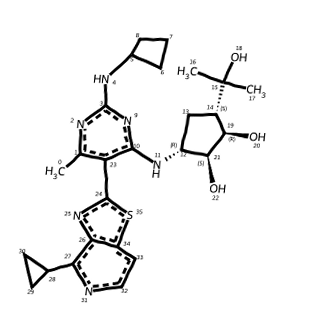 Cc1nc(NC2CCC2)nc(N[C@@H]2C[C@H](C(C)(C)O)[C@@H](O)[C@H]2O)c1-c1nc2c(C3CC3)nccc2s1